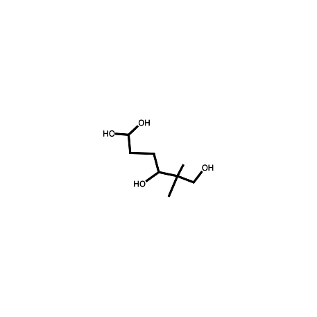 CC(C)(CO)C(O)CCC(O)O